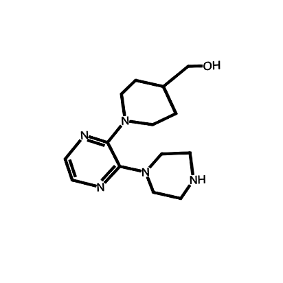 OCC1CCN(c2nccnc2N2CCNCC2)CC1